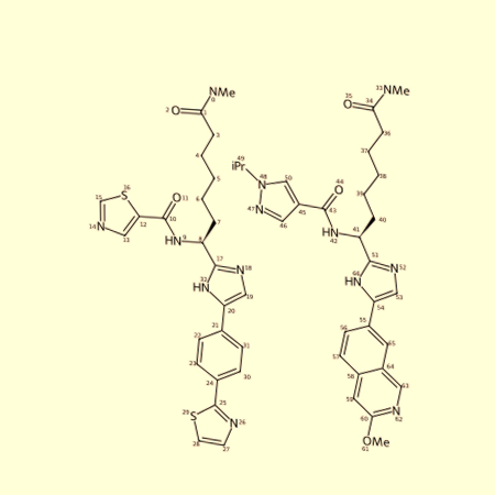 CNC(=O)CCCCC[C@H](NC(=O)c1cncs1)c1ncc(-c2ccc(-c3nccs3)cc2)[nH]1.CNC(=O)CCCCC[C@H](NC(=O)c1cnn(C(C)C)c1)c1ncc(-c2ccc3cc(OC)ncc3c2)[nH]1